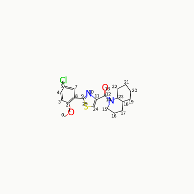 COc1ccc(Cl)cc1-c1nc(C(=O)N2CCCC3CCCCC32)cs1